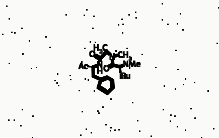 CCC(C)[C@H](NC)C(=O)N(C)[C@H](C)C(=O)N[C@H](Cc1ccccc1)C(C)=O